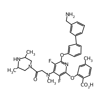 Cc1ccc(C(=O)O)c(Oc2nc(Oc3cccc(-c4cccc(CN)c4)c3)c(F)c(N(C)CC(=O)N3CC(C)NC(C)C3)c2F)c1